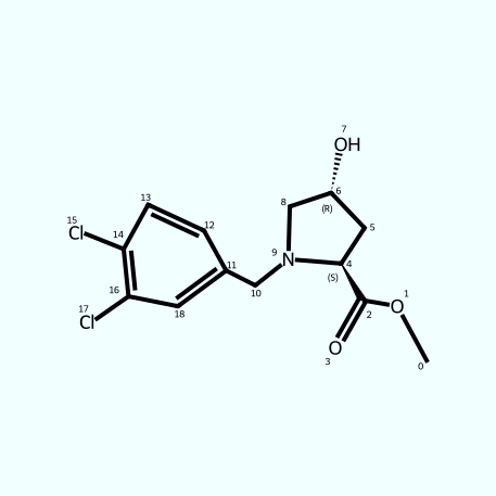 COC(=O)[C@@H]1C[C@@H](O)CN1Cc1ccc(Cl)c(Cl)c1